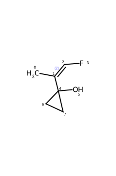 C/C(=C/F)C1(O)CC1